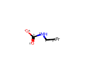 CC(C)CNC([O])=O